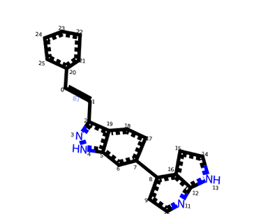 C(=C\c1n[nH]c2cc(-c3ccnc4[nH]ccc34)ccc12)/c1ccccc1